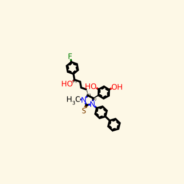 CN1C(=S)N(c2ccc(-c3ccccc3)cc2)[C@H](c2ccc(O)cc2O)[C@H]1CCC[C@@H](O)c1ccc(F)cc1